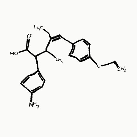 CCOc1ccc(C=C(C)C(C)C(C(=O)O)c2ccc(N)cc2)cc1